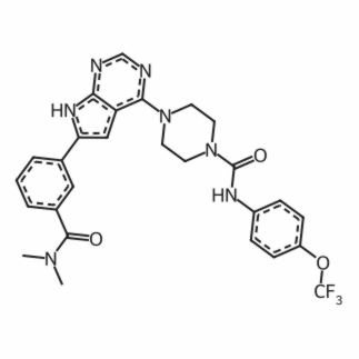 CN(C)C(=O)c1cccc(-c2cc3c(N4CCN(C(=O)Nc5ccc(OC(F)(F)F)cc5)CC4)ncnc3[nH]2)c1